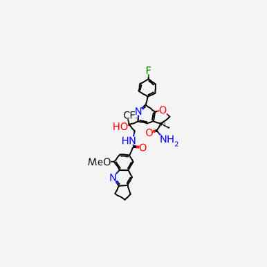 COc1cc(C(=O)NCC(O)(c2cc3c(c(-c4ccc(F)cc4)n2)OC[C@]3(C)C(N)=O)C(F)(F)F)cc2cc3c(nc12)CCC3